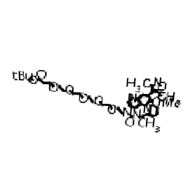 COc1cc2c(cc1-c1c(C)noc1C)ncc1c2n([C@H](C)c2ccccn2)c(=O)n1CCOCCOCCOCCOCCOCCC(=O)OC(C)(C)C